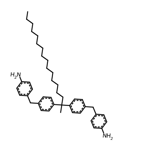 CCCCCCCCCCCCCCCC(C)(c1ccc(Cc2ccc(N)cc2)cc1)c1ccc(Cc2ccc(N)cc2)cc1